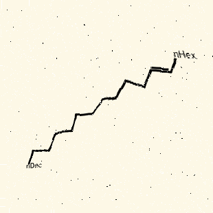 [CH2]CCCCCC=CCCCCCCCCCCCCCCCCCCC[CH2]